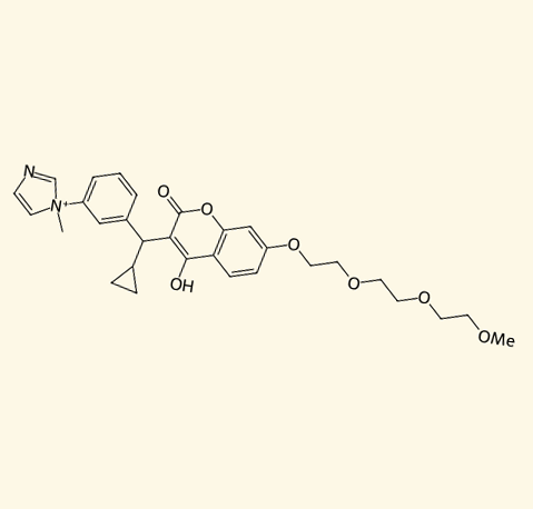 COCCOCCOCCOc1ccc2c(O)c(C(c3cccc([N+]4(C)C=CN=C4)c3)C3CC3)c(=O)oc2c1